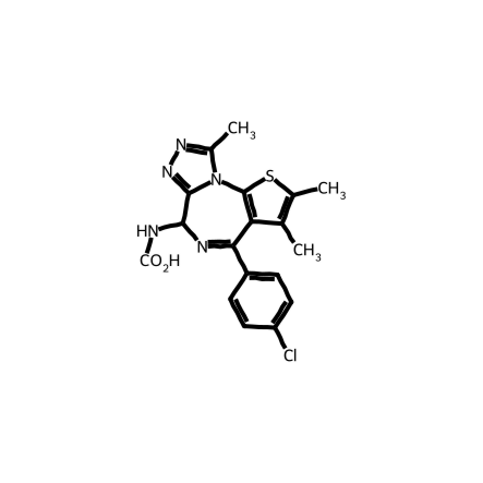 Cc1sc2c(c1C)C(c1ccc(Cl)cc1)=NC(NC(=O)O)c1nnc(C)n1-2